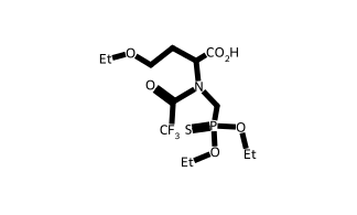 CCOCCC(C(=O)O)N(CP(=S)(OCC)OCC)C(=O)C(F)(F)F